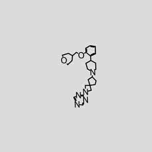 c1ccc(C2CCN(C3CCC4(C3)CN(c3ncncn3)C4)CC2)c(OCC2CCOCC2)c1